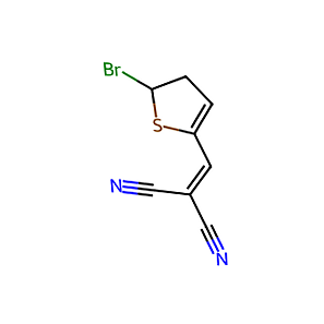 N#CC(C#N)=CC1=CCC(Br)S1